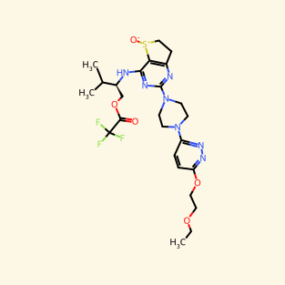 CCOCCOc1ccc(N2CCN(c3nc4c(c(N[C@@H](COC(=O)C(F)(F)F)C(C)C)n3)[S+]([O-])CC4)CC2)nn1